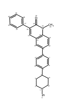 CC(C)N1CCC(c2ccc(-c3ccc4c(c3)cc(-c3ccccc3)c(=O)n4C)cc2)CC1